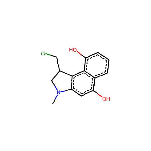 CN1CC(CCl)c2c1cc(O)c1cccc(O)c21